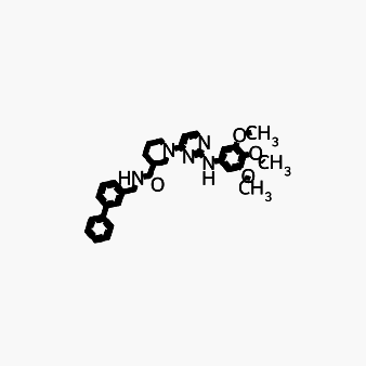 COc1cc(Nc2nccc(N3CCCC(C(=O)NCc4cccc(-c5ccccc5)c4)C3)n2)cc(OC)c1OC